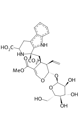 C=C[C@H]1[C@H](O[C@@H]2O[C@@H](CO)[C@H](O)[C@@H](O)[C@@H]2O)OC=C(C(=O)OC)[C@H]1C[C@]1(C(=O)O)NC(C(=O)O)Cc2c1[nH]c1ccccc21